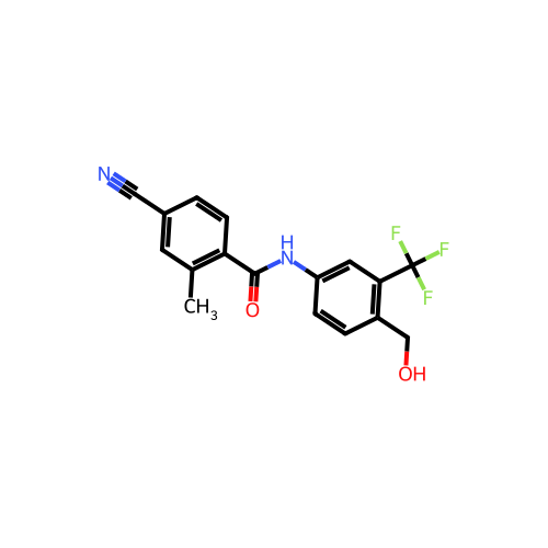 Cc1cc(C#N)ccc1C(=O)Nc1ccc(CO)c(C(F)(F)F)c1